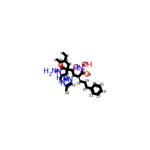 CCCC(CC(CC)CC)(C(=O)NN)C(=O)[C@@H]([C@H](CCCc1ccccc1)C(=O)NO)n1cc(C)nn1